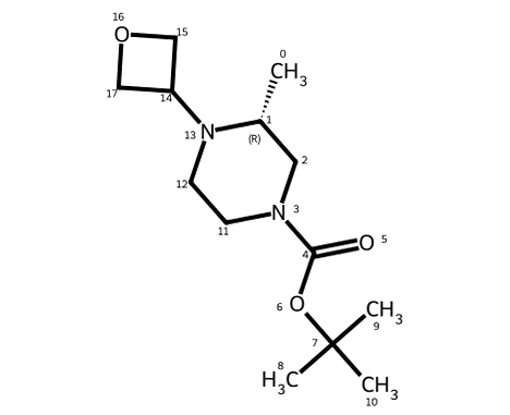 C[C@@H]1CN(C(=O)OC(C)(C)C)CCN1C1COC1